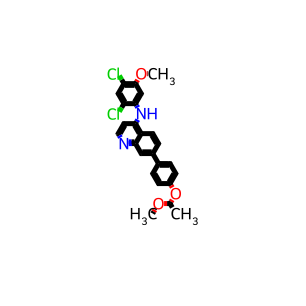 COc1cc(Nc2ccnc3cc(-c4ccc(OC(C)OC)cc4)ccc23)c(Cl)cc1Cl